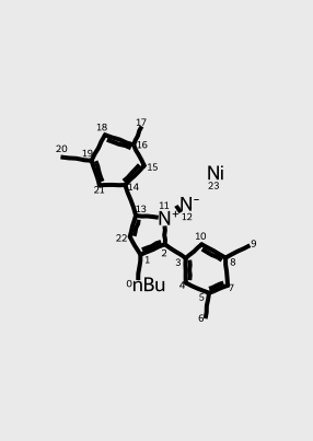 CCCCC1=C(c2cc(C)cc(C)c2)[N+](=[N-])C(c2cc(C)cc(C)c2)=C1.[Ni]